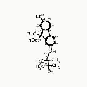 CCCCCCCCC1(CCCCCCCC)c2cc(BOC(C)(C)C(C)(C)O)ccc2-c2ccc(CC)cc21